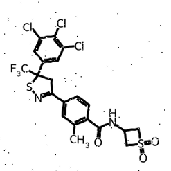 Cc1cc(C2=NSC(c3cc(Cl)c(Cl)c(Cl)c3)(C(F)(F)F)C2)ccc1C(=O)NC1CS(=O)(=O)C1